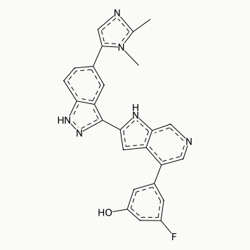 Cc1ncc(-c2ccc3[nH]nc(-c4cc5c(-c6cc(O)cc(F)c6)cncc5[nH]4)c3c2)n1C